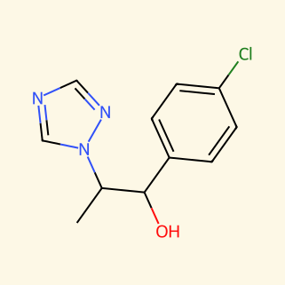 CC(C(O)c1ccc(Cl)cc1)n1cncn1